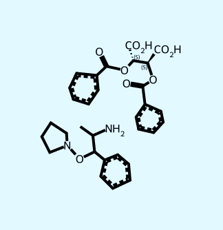 CC(N)C(ON1CCCC1)c1ccccc1.O=C(O[C@H](C(=O)O)[C@H](OC(=O)c1ccccc1)C(=O)O)c1ccccc1